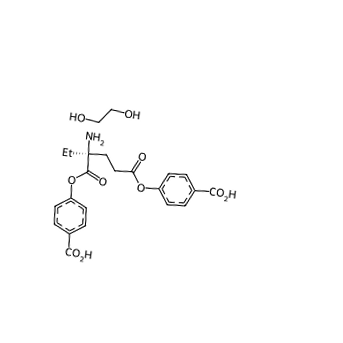 CC[C@](N)(CCC(=O)Oc1ccc(C(=O)O)cc1)C(=O)Oc1ccc(C(=O)O)cc1.OCCO